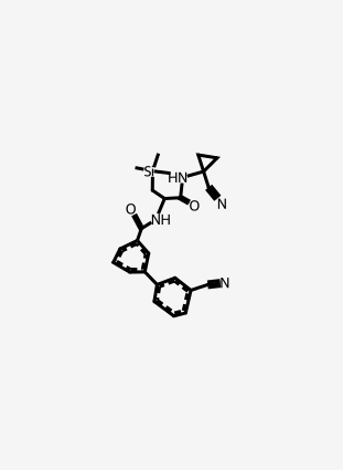 C[Si](C)(C)CC(NC(=O)c1cccc(-c2cccc(C#N)c2)c1)C(=O)NC1(C#N)CC1